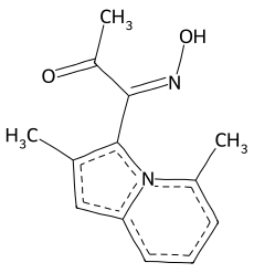 CC(=O)C(=NO)c1c(C)cc2cccc(C)n12